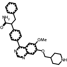 COc1cc2c(-c3ccc(C(Cc4ccccc4)C(N)=O)cc3)ncnc2cc1OCC1CCNCC1